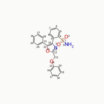 NS(=O)(=O)c1ccccc1-c1nc(COc2ccccc2)oc1-c1ccccc1